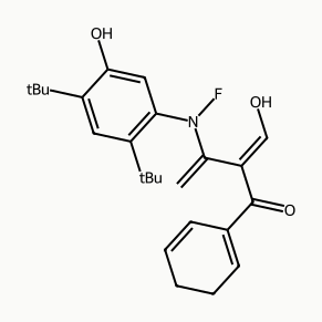 C=C(/C(=C\O)C(=O)C1=CCCC=C1)N(F)c1cc(O)c(C(C)(C)C)cc1C(C)(C)C